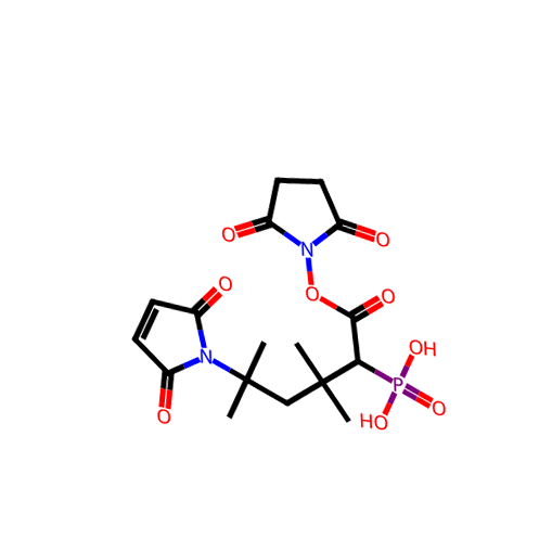 CC(C)(CC(C)(C)N1C(=O)C=CC1=O)C(C(=O)ON1C(=O)CCC1=O)P(=O)(O)O